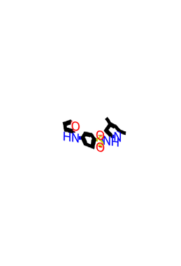 Cc1cc(C)nc(NS(=O)(=O)c2ccc(Nc3ccco3)cc2)c1